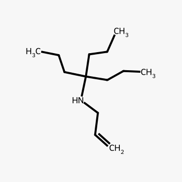 C=CCNC(CCC)(CCC)CCC